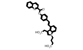 O=C(O)CCCn1cc(CC(=O)O)c2c(C=Cc3ccc(OC(Cl)c4ccc5ccccc5n4)cc3)cccc21